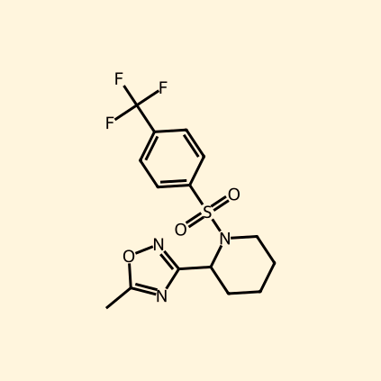 Cc1nc(C2CCCCN2S(=O)(=O)c2ccc(C(F)(F)F)cc2)no1